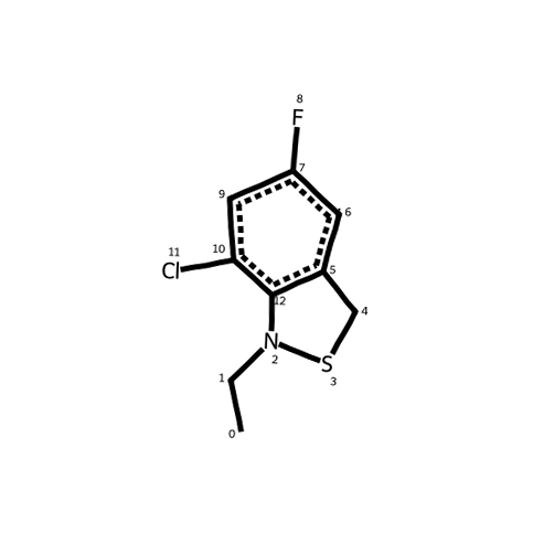 CCN1SCc2[c]c(F)cc(Cl)c21